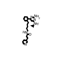 Nc1nc(NC2CC2)cc(-c2ccccc2CCCCCNC(=O)/C=C/c2cccnc2)n1